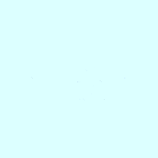 CC(=O)N[C@H](C(=O)N1CC(O)CC1C(=O)NCc1ccc(-c2scnc2C)cc1O)C(C)(C)C